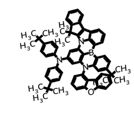 CC(C)(C)c1ccc(N(c2ccc(C(C)(C)C)cc2)c2cc3c4c(c2)-n2c5c(c6cccc(c62)B4c2ccc(C(C)(C)C)cc2N3c2cccc3oc4ccccc4c23)-c2ccccc2C5(C)C)cc1